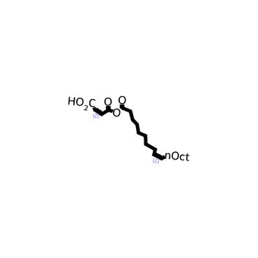 CCCCCCCC/C=C\CCCCCCCC(=O)OC(=O)/C=C\C(=O)O